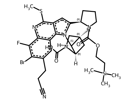 CSc1nc2c(F)c(Br)c(CCC#N)cc2c2c1cc([C@H]1CCCN1C(=O)OCC[Si](C)(C)C)n2[C@H]1[C@@H]2C[C@H]1N(C(=O)O)C2